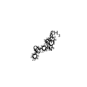 CCN1CCN(Cc2cnn(-c3ccc(C4=COC=C(C5=CC=CCC5)O4)cc3)c2-n2cccc2)CC1